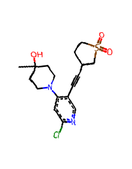 CC1(O)CCN(c2cc(Cl)ncc2C#CC2CCS(=O)(=O)C2)CC1